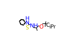 CC(C)CC(C)(C)COCC(C)CNC(=S)Nc1ccccc1